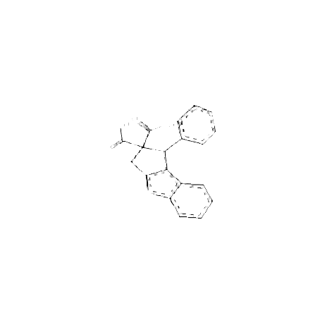 O=C(O)C1(C(=O)O)Cc2oc3ccccc3c2C1c1ccccc1